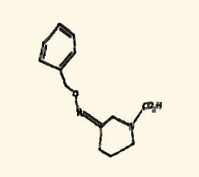 O=C(O)N1CCCC(=NOCc2ccccc2)C1